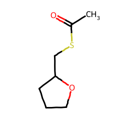 CC(=O)SCC1CCCO1